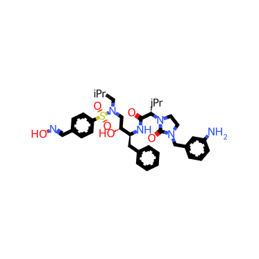 CC(C)CN(C[C@@H](O)[C@H](Cc1ccccc1)NC(=O)[C@H](C(C)C)N1CCN(Cc2cccc(N)c2)C1=O)S(=O)(=O)c1ccc(C=NO)cc1